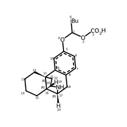 CCC(C)C(OC(=O)O)Oc1ccc2c(c1)[C@@]13CCCC[C@H]1[C@@H](C2)NCC3